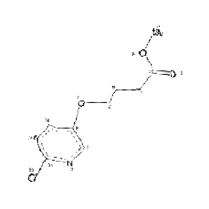 CC(C)(C)OC(=O)CCCOc1cnc(Cl)nc1